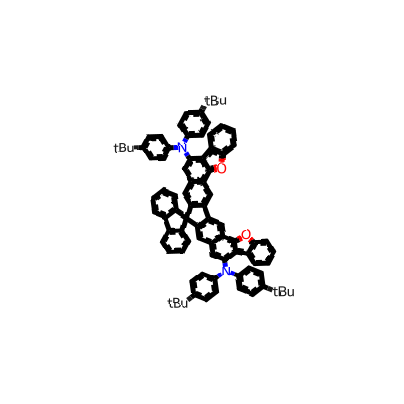 CC(C)(C)c1ccc(N(c2ccc(C(C)(C)C)cc2)c2cc3cc4c(cc3c3oc5ccccc5c23)-c2cc3c(cc2C42c4ccccc4-c4ccccc42)cc(N(c2ccc(C(C)(C)C)cc2)c2ccc(C(C)(C)C)cc2)c2c4ccccc4oc32)cc1